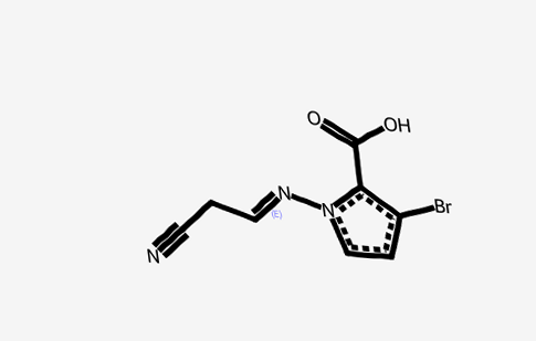 N#CC/C=N/n1ccc(Br)c1C(=O)O